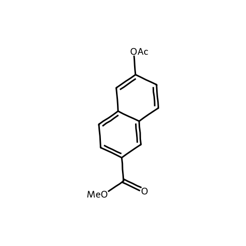 COC(=O)c1ccc2cc(OC(C)=O)ccc2c1